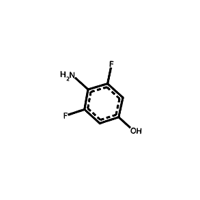 Nc1c(F)cc(O)cc1F